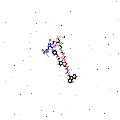 CC(C)C(NC(=O)C(CCC(=O)O)NC(=O)CCOCCOCCOCCOCCNC(=O)OCC1c2ccccc2-c2ccccc21)C(=O)NC(CCCNC(N)=O)C(=O)Nc1ccc(COC(=O)Oc2ccc([N+](=O)[O-])cc2)cc1